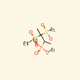 CCOP(=O)(OCC)C(C)C(C)(S(=O)(=O)CC)S(=O)(=O)CC